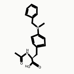 CC(=O)N[C@@H](Cc1ccc(N(C)Cc2ccccc2)cc1)C(=O)O